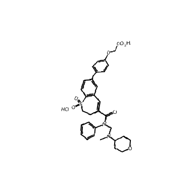 CN(CN(C(=O)C1=Cc2cc(-c3ccc(OCC(=O)O)cc3)ccc2S(=O)(=O)CC1)c1ccccc1)C1CCOCC1.Cl